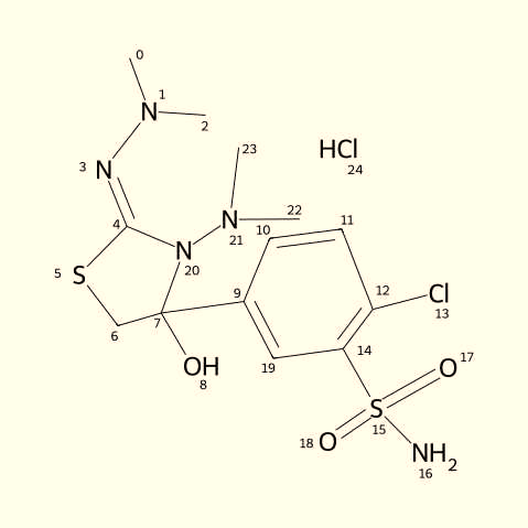 CN(C)N=C1SCC(O)(c2ccc(Cl)c(S(N)(=O)=O)c2)N1N(C)C.Cl